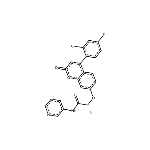 C[C@@H](Oc1ccc2c(-c3ccc(F)cc3Cl)cc(=O)oc2c1)C(=O)Nc1cccnc1